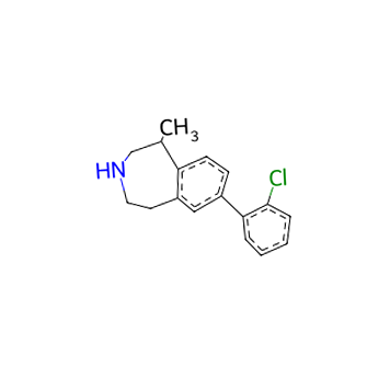 CC1CNCCc2cc(-c3ccccc3Cl)ccc21